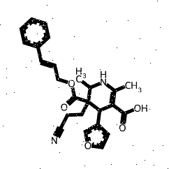 CC1=C(C(=O)O)C(c2ccoc2)C(CCC#N)(C(=O)OCC=Cc2ccccc2)C(C)N1